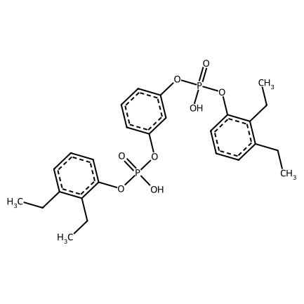 CCc1cccc(OP(=O)(O)Oc2cccc(OP(=O)(O)Oc3cccc(CC)c3CC)c2)c1CC